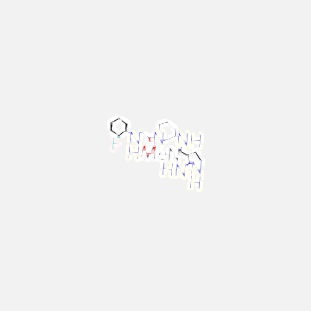 CN/C(N[C@H]1CCCN(C(=O)CNc2ccccc2F)C1)=C1/C=CNC1=N